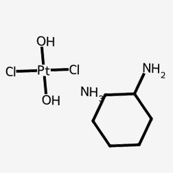 N.NC1CCCCC1.[OH][Pt]([OH])([Cl])[Cl]